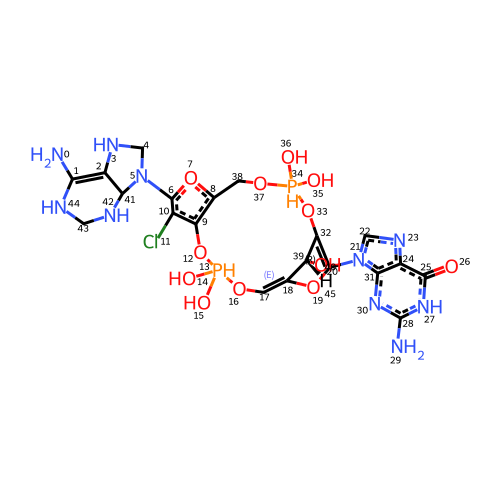 NC1=C2NCN(c3oc4c(c3Cl)O[PH](O)(O)O/C=C3/OC(n5cnc6c(=O)[nH]c(N)nc65)=C(O[PH](O)(O)OC4)[C@@H]3O)C2NCN1